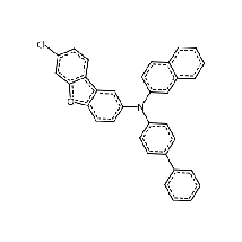 Clc1ccc2c(c1)oc1ccc(N(c3ccc(-c4ccccc4)cc3)c3ccc4ccccc4c3)cc12